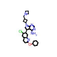 Nc1ncnc2c1c(-c1cc3nc(Oc4ccccc4)ccc3cc1Cl)cn2C1CC(CN2CCC2)C1